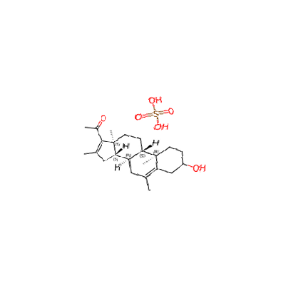 CC(=O)C1=C(C)C[C@H]2[C@@H]3CC(C)=C4CC(O)CC[C@]4(C)[C@H]3CC[C@]12C.O=S(=O)(O)O